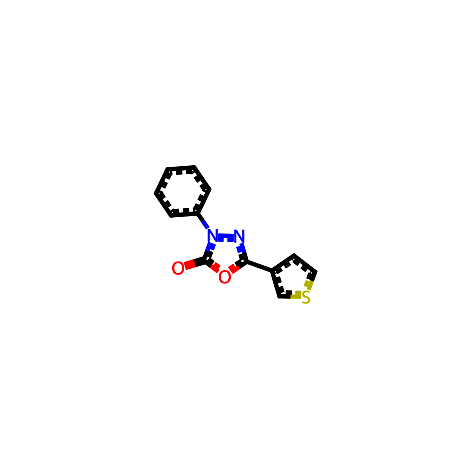 O=c1oc(-c2ccsc2)nn1-c1ccccc1